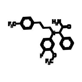 NC(=O)C(c1ccccc1)N(CCCc1ccc(C(F)(F)F)cc1)c1ccc(F)c(OC(F)(F)F)c1